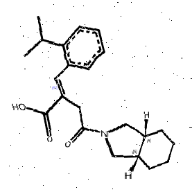 CC(C)c1ccccc1/C=C(\CC(=O)N1C[C@H]2CCCC[C@H]2C1)C(=O)O